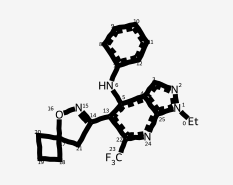 CCn1ncc2c(Nc3ccccc3)c(C3=NOC4(CCC4)C3)c(C(F)(F)F)nc21